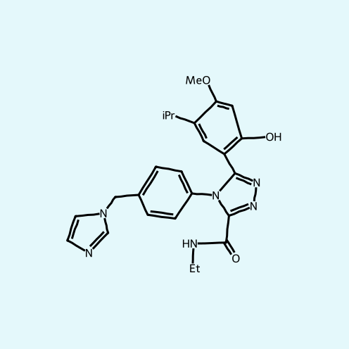 CCNC(=O)c1nnc(-c2cc(C(C)C)c(OC)cc2O)n1-c1ccc(Cn2ccnc2)cc1